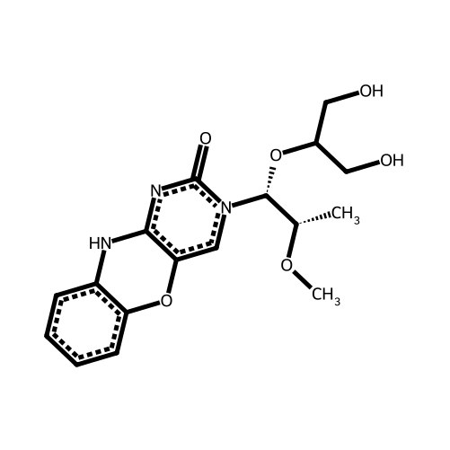 CO[C@@H](C)[C@@H](OC(CO)CO)n1cc2c(nc1=O)Nc1ccccc1O2